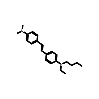 CCCCN(CC)c1ccc(/C=C/c2ccc(N(C)C)cc2)cc1